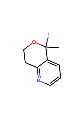 CC1(I)OCCc2ncccc21